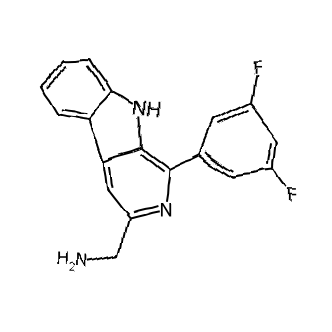 NCc1cc2c([nH]c3ccccc32)c(-c2cc(F)cc(F)c2)n1